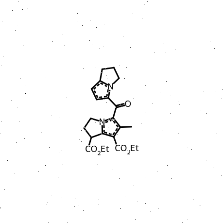 CCOC(=O)c1c(C)c(C(=O)c2ccc3n2CCC3)n2c1C(C(=O)OCC)CC2